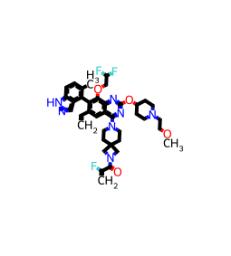 C=Cc1cc2c(N3CCC4(CC3)CN(C(=O)C(=C)F)C4)nc(OC3CCN(CCOC)CC3)nc2c(OCC(F)F)c1-c1c(C)ccc2[nH]ncc12